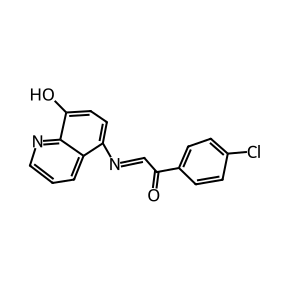 O=C(C=Nc1ccc(O)c2ncccc12)c1ccc(Cl)cc1